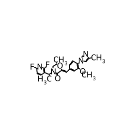 COc1cc(C=C2O[C@@H](C)CN([C@H](C)c3ccc(F)nc3F)C2=O)ccc1-n1cnc(C)c1